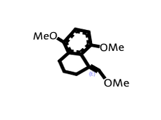 CO/C=C1\CCCc2c(OC)ccc(OC)c21